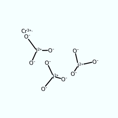 [Cr+3].[O-][I+2]([O-])[O-].[O-][I+2]([O-])[O-].[O-][I+2]([O-])[O-]